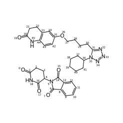 O=C1CCC(N2C(=O)c3ccccc3C2=O)C(=O)N1.O=C1CCc2cc(OCCCCc3nnnn3C3CCCCC3)ccc2N1